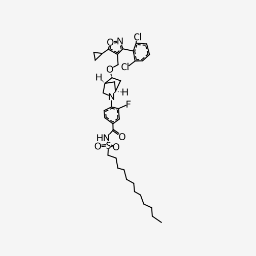 CCCCCCCCCCCCS(=O)(=O)NC(=O)c1ccc(N2C[C@@H]3C[C@H]2C[C@H]3OCc2c(-c3c(Cl)cccc3Cl)noc2C2CC2)c(F)c1